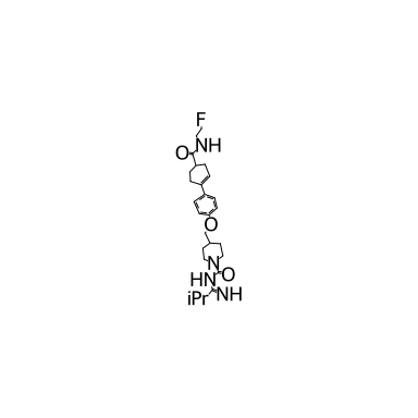 CC(C)C(=N)NC(=O)N1CCC(COc2ccc(C3=CCC(C(=O)NCCF)CC3)cc2)CC1